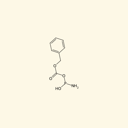 NP(O)OC(=O)OCc1ccccc1